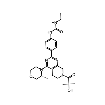 CCNC(=O)Nc1ccc(-c2nc3c(c(N4CCOC[C@H]4C)n2)CCN(C(=O)C(C)(C)O)C3)cc1